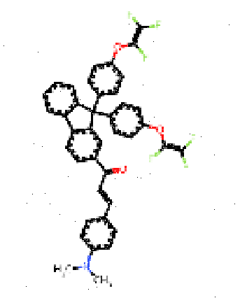 CN(C)c1ccc(C=CC(=O)c2ccc3c(c2)C(c2ccc(OC(F)=C(F)F)cc2)(c2ccc(OC(F)=C(F)F)cc2)c2ccccc2-3)cc1